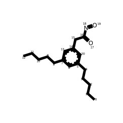 CCCCCc1cc(CCCCC)cc(CC(=O)N=O)c1